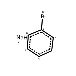 Brc1ccccc1.[NaH]